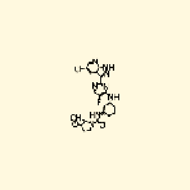 COC1CCN(C(=O)N[C@@H]2CCCC(Nc3nc(C4=NNC5N=CC(Cl)=CC45)ncc3F)C2)C1